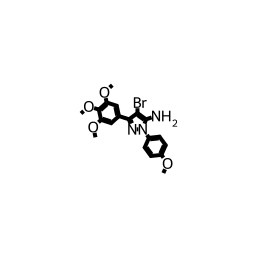 COc1ccc(-n2nc(-c3cc(OC)c(OC)c(OC)c3)c(Br)c2N)cc1